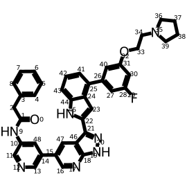 O=C(Cc1ccccc1)Nc1cncc(-c2cnc3[nH]nc(-c4cc5c(-c6cc(F)cc(OCCN7CCCC7)c6)cccc5[nH]4)c3c2)c1